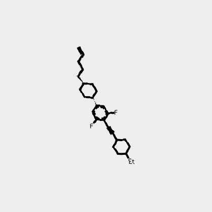 C=CCCC[C@H]1CC[C@H](c2cc(F)c(C#CC3CCC(CC)CC3)c(F)c2)CC1